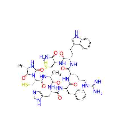 CC(C)[C@@H]1NC(=O)N([C@@H](CS)C(=O)N[C@H](C)C(=O)N[C@@H](Cc2cnc[nH]2)C(=O)N[C@H](Cc2ccccc2)C(=O)N[C@@H](CCCNC(=N)N)C(=O)N[C@@H](CCc2c[nH]c3ccccc23)C(=O)N[C@@H](CS)C(N)=O)C1=O